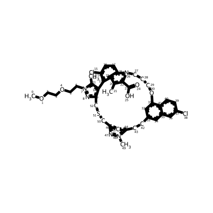 COCCOCCn1nc2c(c1C)-c1c(Cl)ccc3c1c(C)c(C(=O)O)n3CCCOc1cc(cc3cc(Cl)ccc13)CCc1cc(nn1C)CSC2